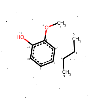 CCCC.COc1ccccc1O